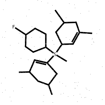 CC1=CC(S(C)(C2=CC(C)CC(C)C2)C2CCC(F)CC2)CC(C)C1